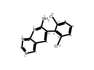 Nc1nc2ncncc2cc1-c1c(Cl)cccc1Cl